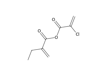 C=C(Cl)C(=O)OC(=O)C(=C)CC